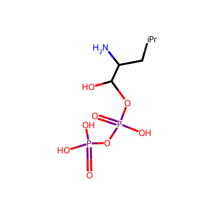 CC(C)CC(N)C(O)OP(=O)(O)OP(=O)(O)O